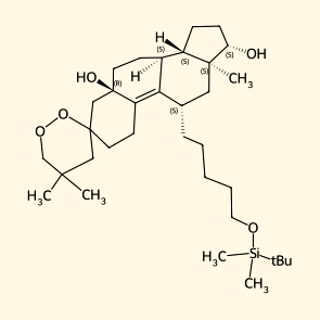 CC1(C)COOC2(CCC3=C4[C@@H](CCCCCO[Si](C)(C)C(C)(C)C)C[C@]5(C)[C@@H](O)CC[C@H]5[C@@H]4CC[C@@]3(O)C2)C1